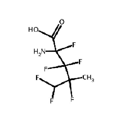 CC(F)(C(F)F)C(F)(F)C(N)(F)C(=O)O